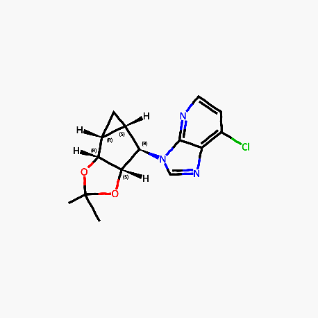 CC1(C)O[C@@H]2[C@@H]3C[C@@H]3[C@@H](n3cnc4c(Cl)ccnc43)[C@@H]2O1